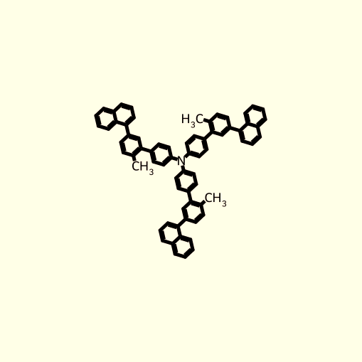 Cc1ccc(-c2cccc3ccccc23)cc1-c1ccc(N(c2ccc(-c3cc(-c4cccc5ccccc45)ccc3C)cc2)c2ccc(-c3cc(-c4cccc5ccccc45)ccc3C)cc2)cc1